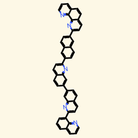 c1cnc2c(-c3ccc4ccc(-c5ccc6ccc(-c7ccc8cc(-c9ccc%10ccc%11cccnc%11c%10n9)ccc8c7)nc6c5)cc4n3)cccc2c1